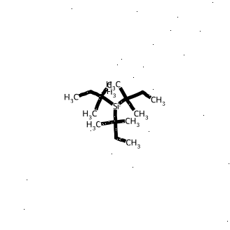 CCC(C)(C)[Si](C(C)(C)CC)C(C)(C)CC